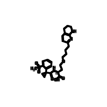 CS(=O)(=O)c1ccccc1C1(C(=O)N[C@@H](CCOCCCCc2ccc3c(n2)NCCC3)C(=O)O)CC1